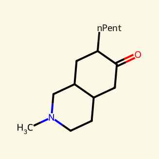 CCCCCC1CC2CN(C)CCC2CC1=O